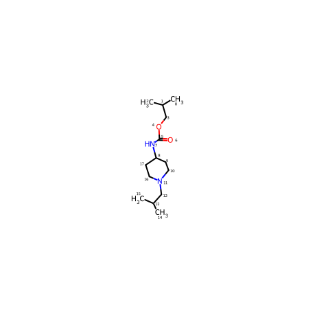 CC(C)COC(=O)NC1CCN(CC(C)C)CC1